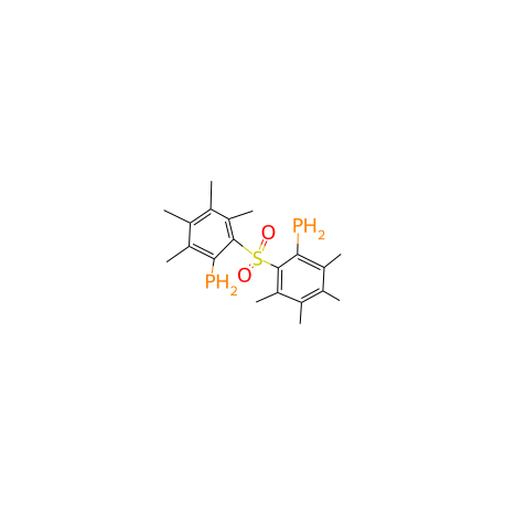 Cc1c(C)c(C)c(S(=O)(=O)c2c(C)c(C)c(C)c(C)c2P)c(P)c1C